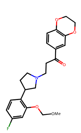 COCOc1cc(F)ccc1C1CCN(CCC(=O)c2ccc3c(c2)OCCO3)C1